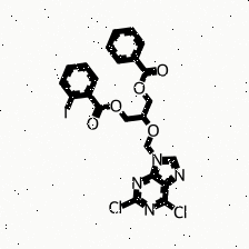 O=C(OCC(COC(=O)c1ccccc1I)OCn1cnc2c(Cl)nc(Cl)nc21)c1ccccc1